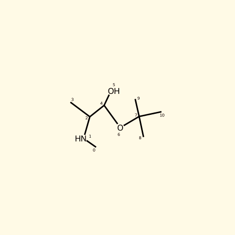 CNC(C)C(O)OC(C)(C)C